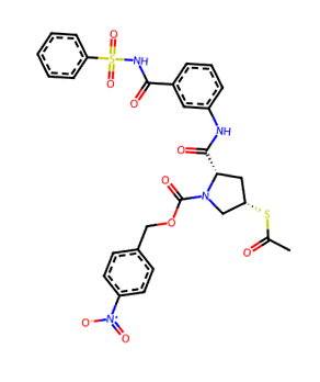 CC(=O)S[C@H]1C[C@@H](C(=O)Nc2cccc(C(=O)NS(=O)(=O)c3ccccc3)c2)N(C(=O)OCc2ccc([N+](=O)[O-])cc2)C1